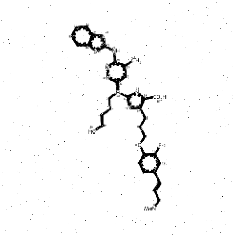 CNC/C=C/c1ccc(OCCCc2sc(N(CCCCO)c3cc(C)c(Nc4nc5ccccc5s4)nn3)nc2C(=O)O)c(F)c1